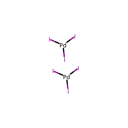 [I][Pd]([I])[I].[I][Pd]([I])[I]